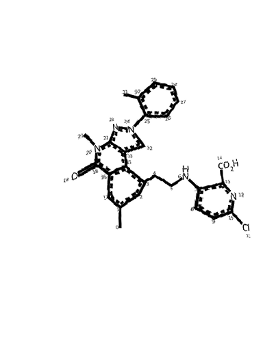 Cc1cc(CCNc2ccc(Cl)nc2C(=O)O)c2c(c1)c(=O)n(C)c1nn(-c3ccccc3C)cc21